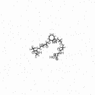 CC(C)(COCC(C)(C)Cn1nnc2c1CCCCCC2OCC(=O)NCCCC[C@@H](NC(C)(C)C)C(=O)C(C)(C)C)CC(=O)NCCS(=O)(=O)O